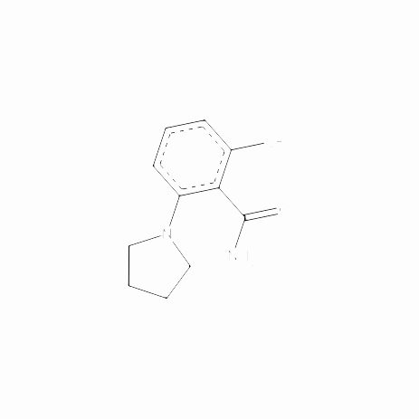 NC(=O)c1c(N2CCCC2)cccc1C(F)(F)F